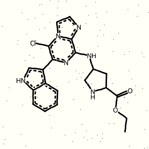 CCOC(=O)C1CC(Nc2nc(-c3c[nH]c4ccccc34)c(Cl)n3ccnc23)CN1